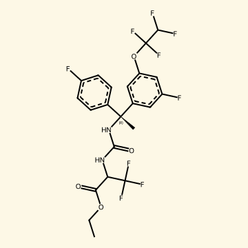 CCOC(=O)C(NC(=O)N[C@](C)(c1ccc(F)cc1)c1cc(F)cc(OC(F)(F)C(F)F)c1)C(F)(F)F